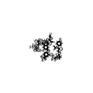 CC(C)N(C(=O)COc1nnc(C(F)(F)F)s1)c1ccc(F)cc1.CCOC(=O)C(C)OC(=O)c1cc(Oc2ccc(C(F)(F)F)cc2Cl)ccc1[N+](=O)[O-].O=C(O)CNCP(=O)(O)O